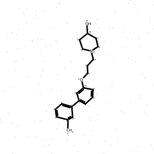 Cc1cccc(-c2cccc(OCCCN3CCC(O)CC3)c2)c1